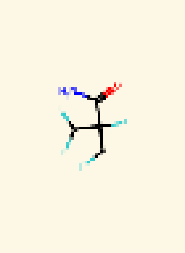 NC(=O)C(F)(CF)C(F)F